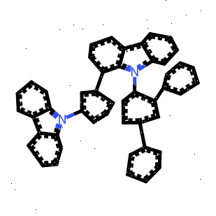 c1ccc(-c2ccc(-n3c4ccccc4c4cccc(-c5cccc(-n6c7ccccc7c7ccccc76)c5)c43)c(-c3ccccc3)c2)cc1